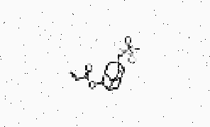 C=CC(=O)OC1C2CC3CC1CC(OS(C)(=O)=O)(C3)C2